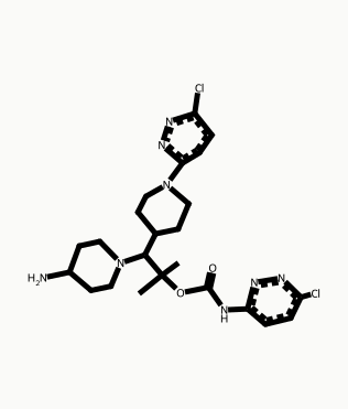 CC(C)(OC(=O)Nc1ccc(Cl)nn1)C(C1CCN(c2ccc(Cl)nn2)CC1)N1CCC(N)CC1